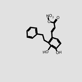 O=C(C=Cc1ccc(O)c(O)c1CCc1ccccc1)O[N+](=O)[O-]